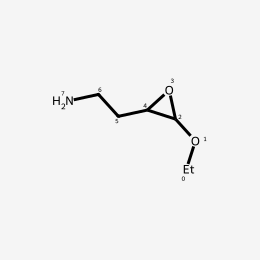 CCOC1OC1CCN